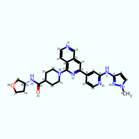 Cn1ccc(Nc2cc(-c3cc4cnccc4c(N4CCC(C(=O)N[C@@H]5CCOC5)CC4)n3)ccn2)n1